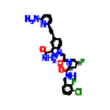 NC(=O)c1nn(CC(=O)N2C[C@H](F)C[C@H]2C(=O)NCc2cccc(Cl)c2F)c2ccc(C#Cc3cccc(N)n3)cc12